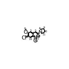 COc1cc(/C=C/N2CCCC2)c([N+](=O)[O-])cc1Cl